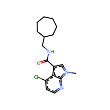 Cn1cc(C(=O)NCC2CCCCCC2)c2c(Cl)ccnc21